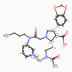 CCCCN(C(=O)CN1C[C@H](c2ccc3c(c2)OCO3)[C@@H](C(=O)O)[C@@H]1CCN(C)C(C)=O)c1ccc[n+](C)c1